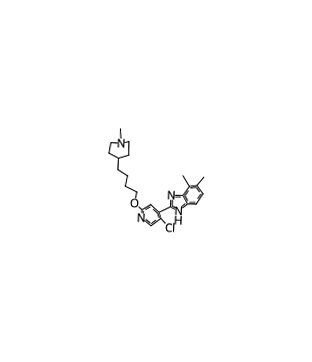 Cc1ccc2[nH]c(-c3cc(OCCCCC4CCN(C)CC4)ncc3Cl)nc2c1C